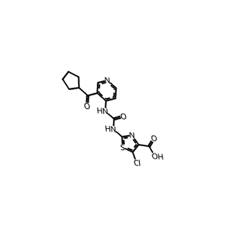 O=C(Nc1nc(C(=O)O)c(Cl)s1)Nc1ccncc1C(=O)C1CCCC1